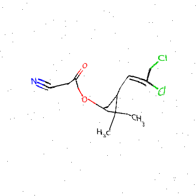 CC1(C)C(C=C(Cl)Cl)C1OC(=O)C#N